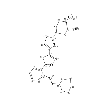 CC(C)(C)C1CC(c2nc(C3=NOC(c4ccccc4OCC4CCCCC4)C3)cs2)CCN1C(=O)O